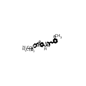 COc1cccc(C=Cc2cnc(Nc3ccc(S(=O)(=O)CC4CCN(C(=O)OC(C)(C)C)CC4)cc3)nc2)c1